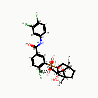 C[C@H](O)[C@@H](O)[C@@]1(O)[C@@H]2CC[C@H]1C[C@H](S(=O)(=O)c1cc(C(=O)Nc3ccc(F)c(F)c3)ccc1Cl)C2